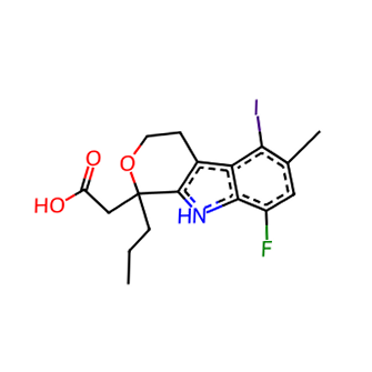 CCCC1(CC(=O)O)OCCc2c1[nH]c1c(F)cc(C)c(I)c21